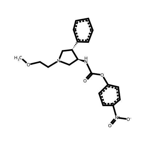 COCCN1C[C@H](NC(=O)Oc2ccc([N+](=O)[O-])cc2)[C@@H](c2ccccc2)C1